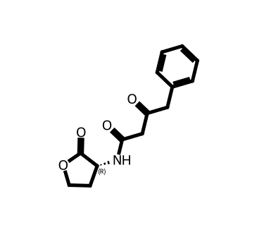 O=C(CC(=O)N[C@@H]1CCOC1=O)Cc1ccccc1